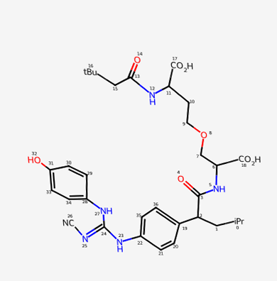 CC(C)CC(C(=O)NC(COCCC(NC(=O)CC(C)(C)C)C(=O)O)C(=O)O)c1ccc(NC(=NC#N)Nc2ccc(O)cc2)cc1